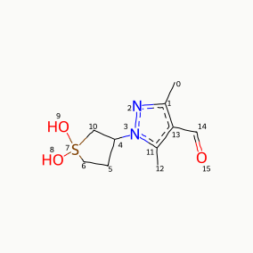 Cc1nn(C2CCS(O)(O)C2)c(C)c1C=O